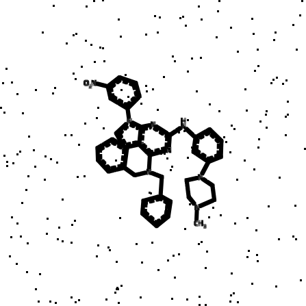 CN1CCN(c2cccc(Nc3nc(N(Cc4ccccc4)Cc4ccccc4)c4ncn(-c5cccc([N+](=O)[O-])c5)c4n3)c2)CC1